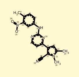 Cc1ccc(Nc2nccc(-c3cc(C)n(C)c3C#N)n2)cc1[N+](=O)[O-]